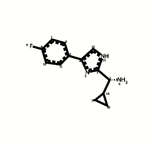 N[C@@H](c1nc(-c2ccc(F)cc2)c[nH]1)C1CC1